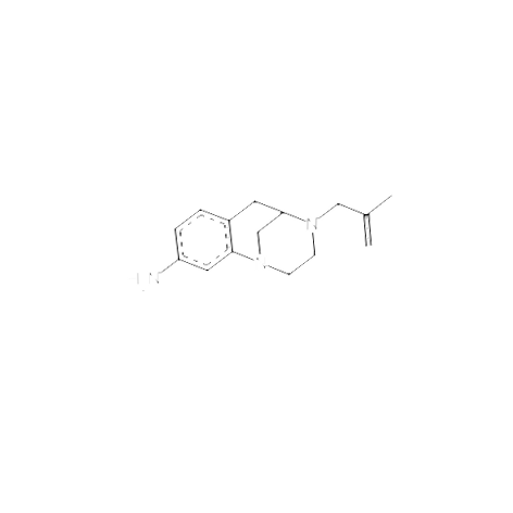 C=C(C)CN1CCN2CC1Cc1ccc(N)cc12